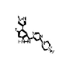 Cn1cc(-c2cc3c(-c4cc(N5CC[S+]([O-])CC5)ncn4)n[nH]c3cc2F)cn1